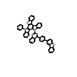 c1ccc(-n2c3ccccc3c3c2c2oc4ccccc4c2c2c4ccccc4n(-c4nc(-c5ccc(-c6ccc7oc8ccccc8c7c6)cc5)c5ccccc5n4)c23)cc1